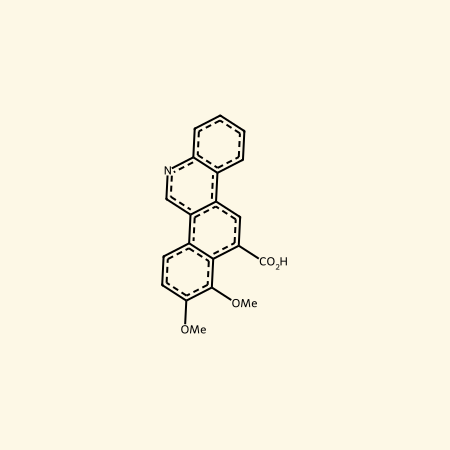 COc1ccc2c(c(C(=O)O)cc3c4ccccc4ncc23)c1OC